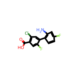 Nc1cc(F)ccc1-c1cc(Cl)c(C(=O)O)cc1F